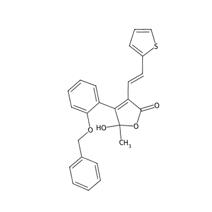 CC1(O)OC(=O)C(C=Cc2cccs2)=C1c1ccccc1OCc1ccccc1